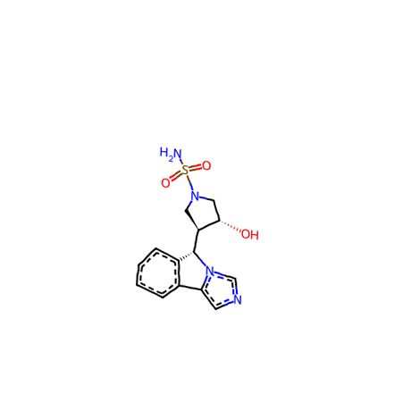 NS(=O)(=O)N1C[C@H]([C@H]2c3ccccc3-c3cncn32)[C@@H](O)C1